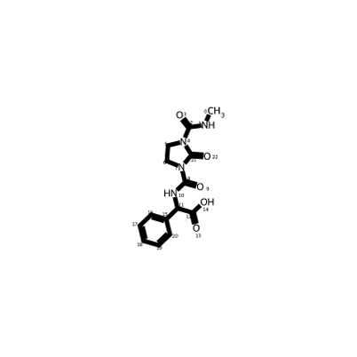 CNC(=O)N1CCN(C(=O)NC(C(=O)O)c2ccccc2)C1=O